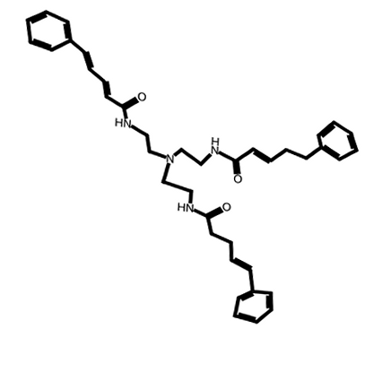 O=C(/C=C/C=C/c1ccccc1)NCCN(CCNC(=O)/C=C/CCc1ccccc1)CCNC(=O)CC/C=C/c1ccccc1